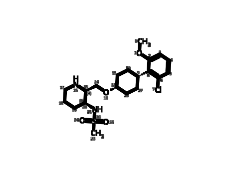 COc1cccc(Cl)c1[C@H]1CC[C@@H](OC[C@@H]2NCCC[C@@H]2NS(C)(=O)=O)CC1